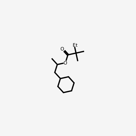 CCC(C)(C)C(=O)OC(C)CC1CCCCC1